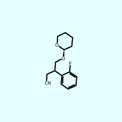 N#CCC(CO[C@@H]1CCCCO1)c1ccccc1F